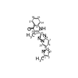 Cc1csc(-c2ccc3nc(-c4[nH]c5ccccc5c(=O)c4C)nn3c2)n1